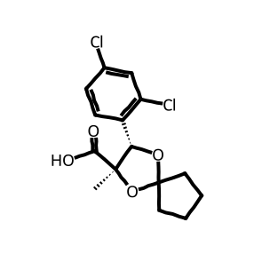 C[C@@]1(C(=O)O)OC2(CCCC2)O[C@H]1c1ccc(Cl)cc1Cl